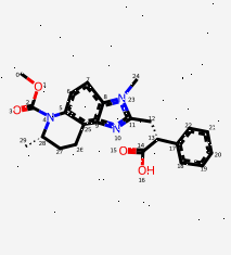 COC(=O)N1c2ccc3c(nc(C[C@@H](C(=O)O)c4ccccc4)n3C)c2CC[C@@H]1C